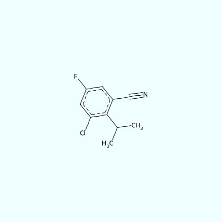 CC(C)c1c(Cl)cc(F)cc1C#N